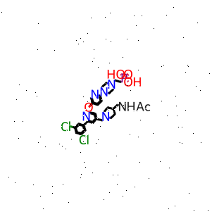 CC(=O)NCC1CCN(Cc2cc(Oc3ccc(N4CCN(CCP(=O)(O)O)CC4)nc3)nc(-c3cc(Cl)cc(Cl)c3)c2)CC1